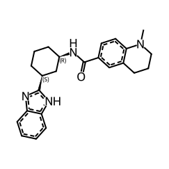 CN1CCCc2cc(C(=O)N[C@@H]3CCC[C@H](c4nc5ccccc5[nH]4)C3)ccc21